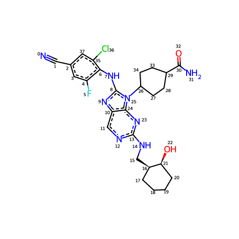 N#Cc1cc(F)c(Nc2nc3cnc(NC[C@@H]4CCCC[C@@H]4O)nc3n2C2CCC(C(N)=O)CC2)c(Cl)c1